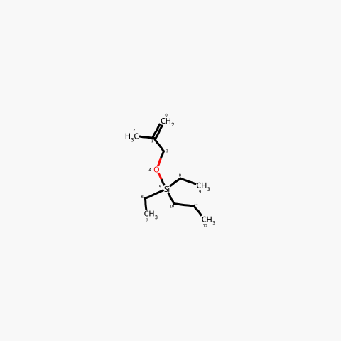 C=C(C)CO[Si](CC)(CC)CCC